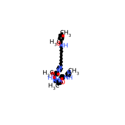 COc1cc(N2CCN(CCCCCCCCCCCCNC(=O)CC3(C)CC4CC(C)CC(C4)C3)CC2)ccc1Nc1ncc2c(C)cc(=O)n(-c3cccc(NC4CCN(C)CC4)c3)c2n1